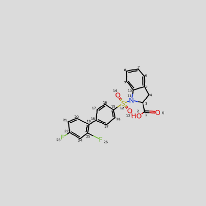 O=C(O)[C@@H]1Cc2ccccc2N1S(=O)(=O)c1ccc(-c2ccc(F)cc2F)cc1